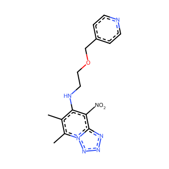 Cc1c(NCCOCc2ccncc2)c([N+](=O)[O-])c2nnnn2c1C